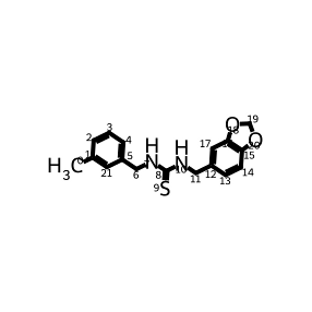 Cc1cccc(CNC(=S)NCc2ccc3c(c2)OCO3)c1